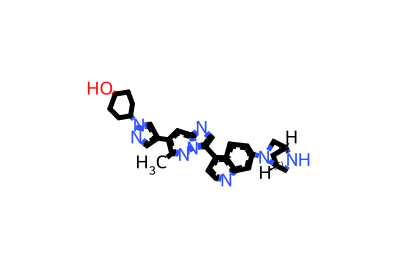 Cc1nn2c(-c3ccnc4cc(N5C[C@@H]6C[C@H]5CN6)ccc34)cnc2cc1-c1cnn(C2CCC(O)CC2)c1